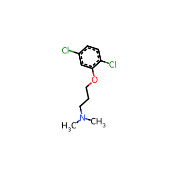 CN(C)CCCOc1cc(Cl)ccc1Cl